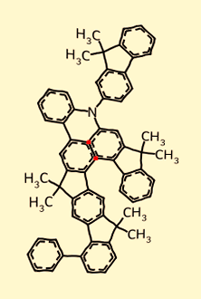 CC1(C)c2ccccc2-c2ccc(N(c3ccc4c(c3)C(C)(C)c3ccccc3-4)c3ccccc3-c3ccc4c(c3)C(C)(C)c3cc5c(cc3-4)C(C)(C)c3cccc(-c4ccccc4)c3-5)cc21